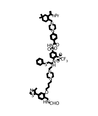 C=C(CCC)C1=C(CN2CCN(c3ccc(C(=O)NS(=O)(=O)c4ccc(N[C@H](CCN5CCN(CCCCOc6cc(-c7scnc7C)ccc6CNC=O)CC5)CSc5ccccc5)c(S(=O)(=O)C(F)(F)F)c4)cc3)CC2)CCC(C)(C)C1